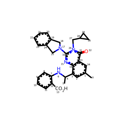 Cc1cc(C(C)Nc2ccccc2C(=O)O)c2nc(N3Cc4ccccc4C3)n(CC3CC3)c(=O)c2c1